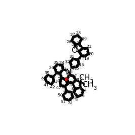 CC1(C)c2ccccc2-c2ccc(N(c3ccc(-c4cccc5c4oc4ccccc45)cc3)c3cccc(-c4ccccc4)c3-c3ccc(-c4ccccc4)cc3)cc21